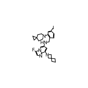 Fc1cnc2c(N3CC4(CCC4)C3)cc(NCc3ccc(I)cc3N3CCC4(CC3)CC4)cn12